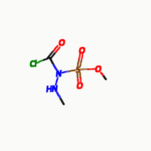 CNN(C(=O)Cl)S(=O)(=O)OC